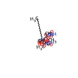 CCCCCCCCCCCCCCCCCN(C[C@H]1O[C@@H](n2ccc(=O)[nH]c2=O)[C@@H](OC)[C@H]1OP(=O)(OC)OC)C(=O)CC1C(OC)[C@H](n2ccc(=O)[nH]c2=O)O[C@@H]1COC